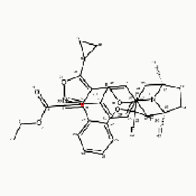 CCOC(=O)C#Cc1ccc(N2[C@@H]3CC[C@H]2CC(OCc2c(-c4ccccc4OC(F)(F)F)noc2C2CC2)C3)cc1